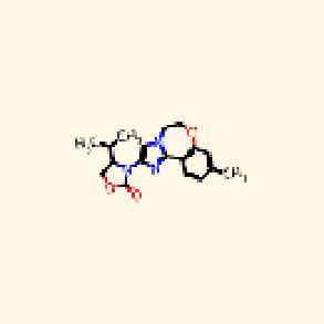 Cc1ccc2c(c1)OCCn1cc(N3C(=O)OCC3C(C)C)nc1-2